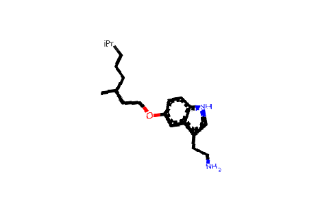 CC(C)CCCC(C)CCOc1ccc2[nH]cc(CCN)c2c1